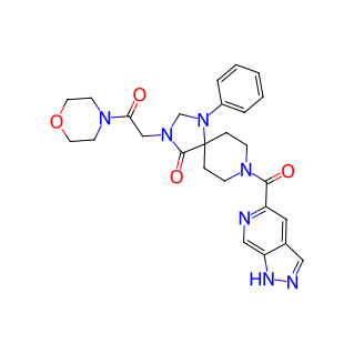 O=C(CN1CN(c2ccccc2)C2(CCN(C(=O)c3cc4cn[nH]c4cn3)CC2)C1=O)N1CCOCC1